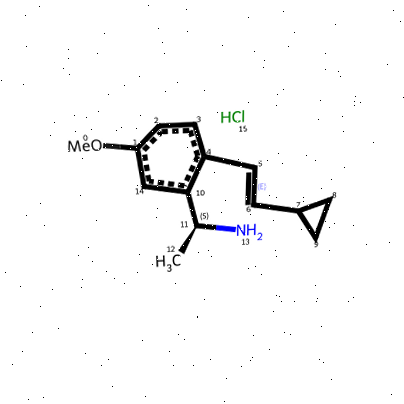 COc1ccc(/C=C/C2CC2)c([C@H](C)N)c1.Cl